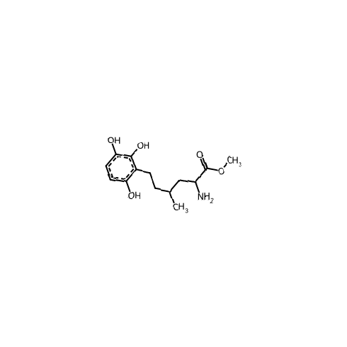 COC(=O)C(N)CC(C)CCc1c(O)ccc(O)c1O